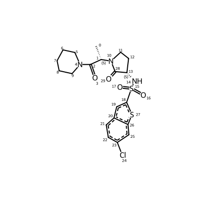 C[C@@H](C(=O)N1CCCCC1)N1CC[C@H](NS(=O)(=O)c2cc3ccc(Cl)cc3s2)C1=O